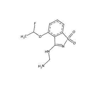 CC(F)Oc1cccc2c1C(NCN)=NS2(=O)=O